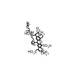 CC1(C)C=C(CS(=O)(=O)O)c2cc3c(c(S(=O)(=O)O)c2=N1)Oc1c(cc2c4c1CCCN4C(C)(C)C=C2CS(=O)(=O)O)C=3c1nccn1CCCCNC(=O)CN=[N+]=[N-]